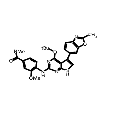 CNC(=O)c1ccc(Nc2nc(OC(C)(C)C)c3c(-c4ccc5nc(C)oc5c4)c[nH]c3n2)c(OC)c1